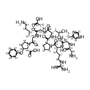 CC(C)C[C@H](NC(=O)[C@@H]1CCCN1C(=O)[C@H](CCCNC(=N)N)NC(=O)[C@H](Cc1c[nH]cn1)NC(=O)CN)C(=O)N[C@@H](CC(=O)O)C(=O)N[C@@H](CCCCN)C(=O)N1CCC(Oc2ccccc2)[C@H]1C(=O)O